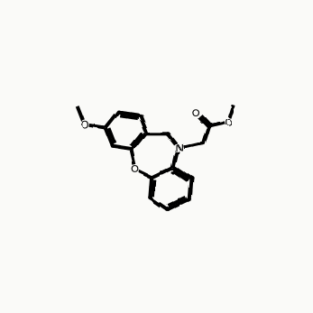 COC(=O)CN1Cc2ccc(OC)cc2Oc2ccccc21